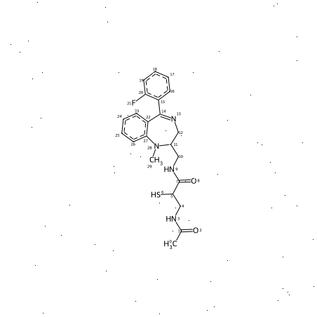 CC(=O)NCC(S)C(=O)NCC1CN=C(c2ccccc2F)c2ccccc2N1C